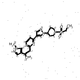 CCS(=O)(=O)N1CCC(n2cc(-c3ccnc(/C=C(/C)c4cnn(C)c4)n3)cn2)CC1